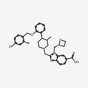 CC1CN(Cc2nc3ccc(C(=O)O)cc3n2C[C@@H]2CCO2)CCC1c1ccccc1OCc1ccc(Cl)cc1F